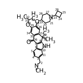 C=NCc1ccc2c3c([nH]c2c1)C(C)(C)c1cc(OC2CCN(C4CCC4)CC2)c(OC(C)C)cc1C3=O